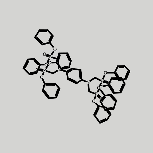 O=P(CN(CP(=O)(Oc1ccccc1)Oc1ccccc1)c1ccc(N(CP(=O)(Oc2ccccc2)Oc2ccccc2)CP(=O)(Oc2ccccc2)Oc2ccccc2)cc1)(Oc1ccccc1)Oc1ccccc1